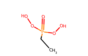 CCP(=O)(OO)OO